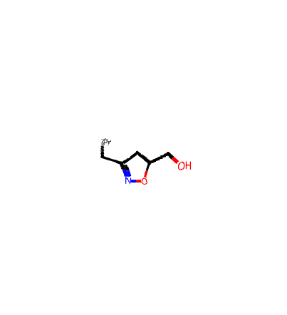 CC(C)CC1=NOC(CO)C1